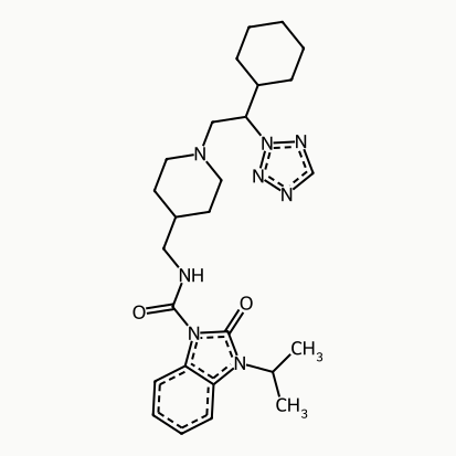 CC(C)n1c(=O)n(C(=O)NCC2CCN(CC(C3CCCCC3)n3ncnn3)CC2)c2ccccc21